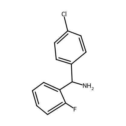 NC(c1ccc(Cl)cc1)c1ccccc1F